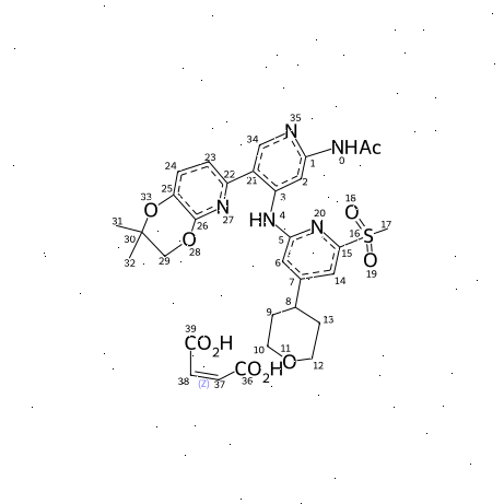 CC(=O)Nc1cc(Nc2cc(C3CCOCC3)cc(S(C)(=O)=O)n2)c(-c2ccc3c(n2)OCC(C)(C)O3)cn1.O=C(O)/C=C\C(=O)O